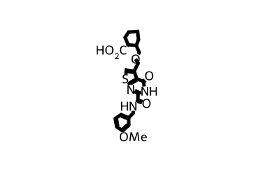 COc1cccc(CNC(=O)c2nc3scc(COCC4CCCCC4C(=O)O)c3c(=O)[nH]2)c1